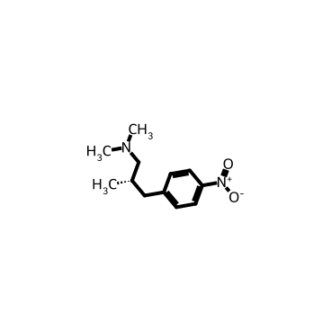 C[C@@H](Cc1ccc([N+](=O)[O-])cc1)CN(C)C